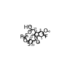 COC1=C(F)CC2C(=C1)C(CC(=O)O)=C(C)N2C(=O)c1csc(OC(F)F)c1